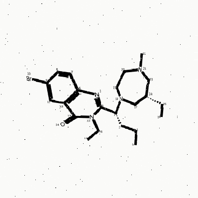 CCC[C@H](c1nc2ccc(Br)cc2c(=O)n1CC)N1CCN(C)C[C@H](CC)C1